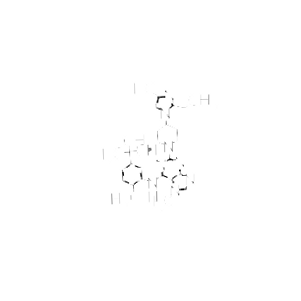 CCc1nc(C)cn1C1CCN(c2nc(Nc3cc(C(C)(C)C)ccc3C)c3c(ncn3C)n2)CC1